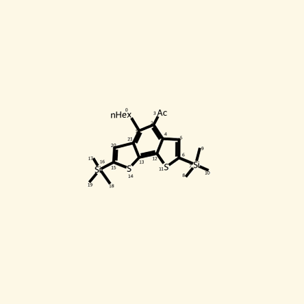 CCCCCCc1c(C(C)=O)c2cc([Si](C)(C)C)sc2c2sc([Si](C)(C)C)cc12